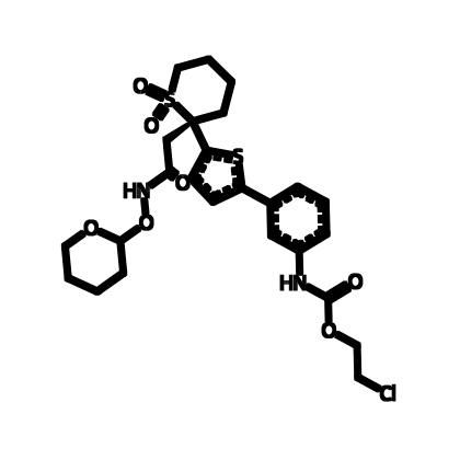 O=C(C[C@]1(c2ccc(-c3cccc(NC(=O)OCCCl)c3)s2)CCCCS1(=O)=O)NOC1CCCCO1